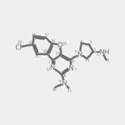 CN[C@@H]1CCN(c2nc(N(C)C)nc3c2oc2ccc(Cl)cc23)C1